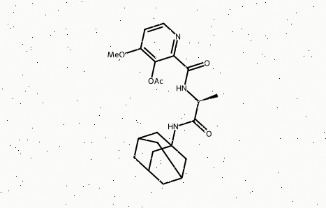 COc1ccnc(C(=O)N[C@@H](C)C(=O)NC23CC4CC(CC(C4)C2)C3)c1OC(C)=O